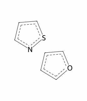 c1ccoc1.c1cnsc1